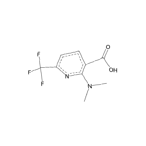 CN(C)c1nc(C(F)(F)F)ccc1C(=O)O